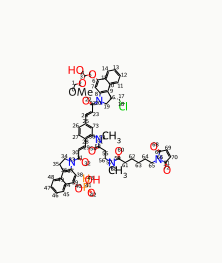 COCOC(O)Oc1cc2c(c3ccccc13)[C@H](CCl)CN2C(=O)/C=C/c1ccc(/C=C/C(=O)N2CCc3c2cc(O[PH](=O)O)c2ccccc32)c(N(C)C(=O)CCN(C)C(=O)CCCCCN2C(=O)C=CC2=O)c1